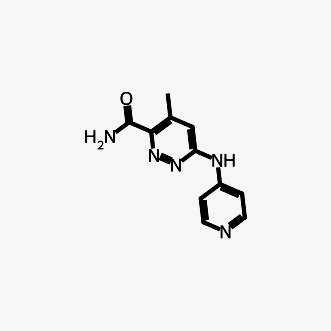 Cc1cc(Nc2ccncc2)nnc1C(N)=O